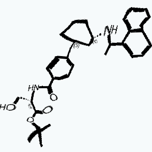 CC(N[C@H]1CCC[C@H](c2ccc(C(=O)N[C@@H](CO)C(=O)OC(C)(C)C)cc2)C1)c1cccc2ccccc12